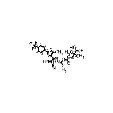 Cc1sc(-c2ccc(C(F)(F)F)cc2)nc1/C(=N/NC(C)OC(=O)OCC(C)(C)C(=O)O)C(=N)C#N